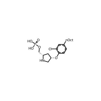 CCCCCCCCc1ccc(O[C@@H]2CN[C@H](COP(=O)(O)O)C2)c(Cl)c1